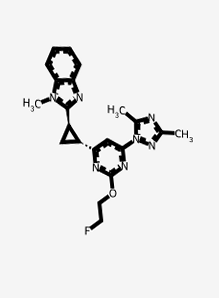 Cc1nc(C)n(-c2cc([C@@H]3C[C@H]3c3nc4ccccc4n3C)nc(OCCF)n2)n1